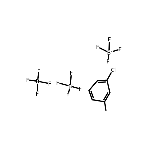 Cc1cccc(Cl)c1.F[B-](F)(F)F.F[B-](F)(F)F.F[B-](F)(F)F